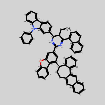 CCC1C(c2cccc3ccccc23)=NC(c2cc([C@@H]3CCc4cc5ccccc5cc4-c4ccccc43)c3c(c2)oc2ccccc23)=NC1c1ccc2c3ccccc3n(-c3ccccc3)c2c1